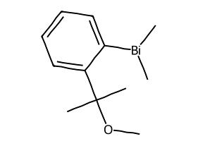 COC(C)(C)c1cccc[c]1[Bi]([CH3])[CH3]